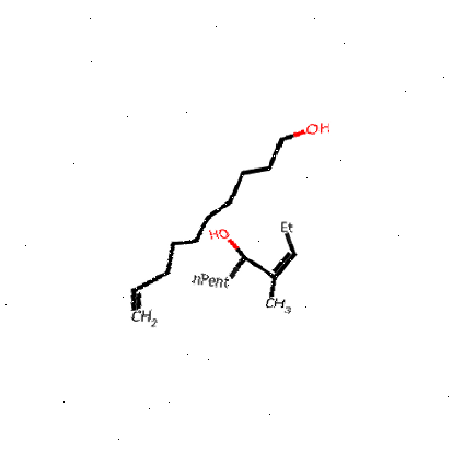 C=CCCCCCCCCO.CCC=C(C)C(O)CCCCC